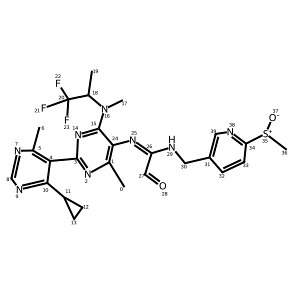 Cc1nc(-c2c(C)ncnc2C2CC2)nc(N(C)C(C)C(F)(F)F)c1/N=C(\C=O)NCc1ccc([S+](C)[O-])nc1